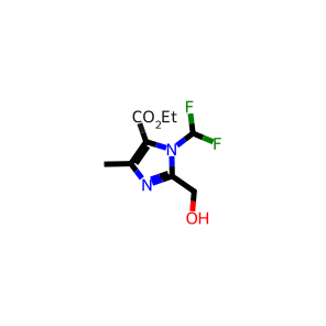 CCOC(=O)c1c(C)nc(CO)n1C(F)F